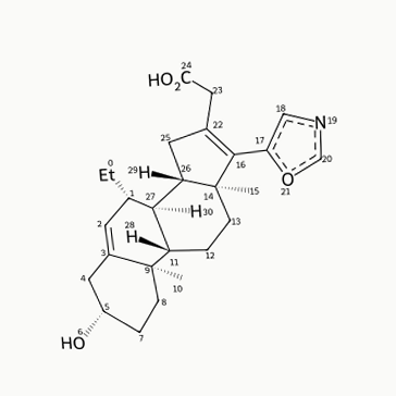 CC[C@H]1C=C2C[C@@H](O)CC[C@]2(C)[C@H]2CC[C@]3(C)C(c4cnco4)=C(CC(=O)O)C[C@H]3[C@H]12